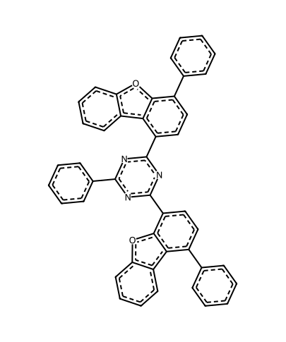 c1ccc(-c2nc(-c3ccc(-c4ccccc4)c4c3oc3ccccc34)nc(-c3ccc(-c4ccccc4)c4oc5ccccc5c34)n2)cc1